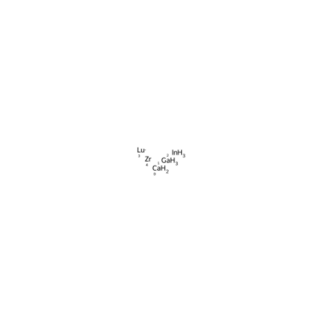 [CaH2].[GaH3].[InH3].[Lu].[Zr]